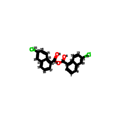 O=C(OC(=O)c1cccc2cc(Cl)ccc12)c1cccc2cc(Cl)ccc12